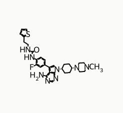 CN1CCN([C@H]2CC[C@@H](n3cc(-c4ccc(NC(=O)NCCc5cccs5)c(F)c4)c4c(N)ncnc43)CC2)CC1